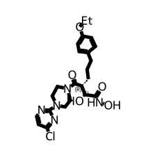 CCOc1ccc(CCC[C@@H](C(=O)N2CCN(c3nccc(Cl)n3)CC2)[C@H](O)C(=O)NO)cc1